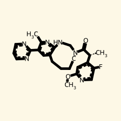 COc1cc([C@@H](C)C(=O)N2CCCCc3cc(-c4ncccn4)c(C)nc3NC2)c(F)cn1